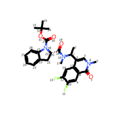 CC(c1cn(C)c(=O)c2cc(F)c(F)cc12)N(C)C(=O)[C@@H]1Cc2ccccc2N1C(=O)OC(C)(C)C